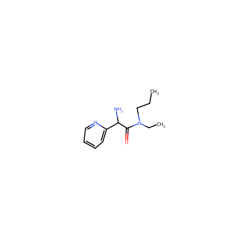 CCCN(CC)C(=O)C(N)c1ccccn1